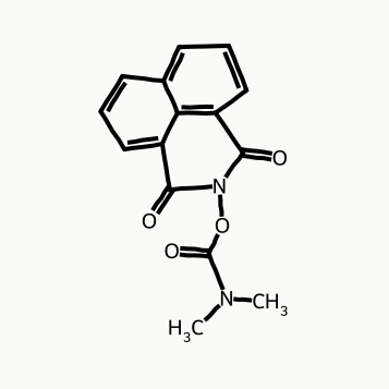 CN(C)C(=O)ON1C(=O)c2cccc3cccc(c23)C1=O